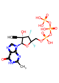 C#C[C@]1(O)[C@H](n2cnc3c(=O)[nH]c(C)nc32)O[C@](F)(COP(=O)(O)OP(=O)(O)OP(=O)(O)O)[C@H]1F